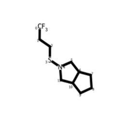 FC(F)(F)CCSN1CC2CCCC2C1